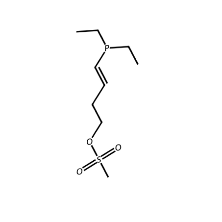 CCP(C=CCCOS(C)(=O)=O)CC